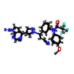 COc1ccc(N(C(=O)C(F)(F)F)c2cccc(C(CC#N)n3cc(-c4ncnc5[nH]ccc45)cn3)c2)cc1